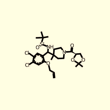 C=CCOc1cc(Cl)c(Cl)cc1C(N[S+]([O-])C(C)(C)C)C1(C)CCN(C(=O)[C@H]2COC(C)(C)O2)CC1